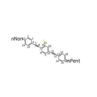 CCCCCCCCCc1ccc(C#Cc2ccc(C#Cc3ccc(CCCCC)cc3)cc2F)cc1